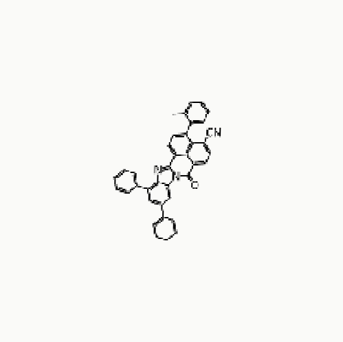 Cc1ccccc1-c1ccc2c3c1c(C#N)ccc3c(=O)n1c3cc(C4=CCCC=C4)cc(-c4ccccc4)c3nc21